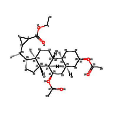 CCOC(=O)C1CC1[C@@H](C)[C@H]1CC[C@H]2[C@@H]3[C@H](OC(C)=O)C[C@@H]4C[C@H](OC(C)=O)CC[C@]4(C)[C@H]3CC[C@]12C